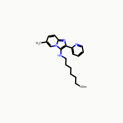 CCCCCCCCCCCCCCCCNc1c(-c2ccccn2)nc2ccc(C)cn12